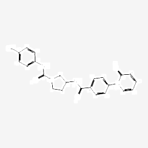 O=C(NC1CCN(C(=O)Nc2ccc(Cl)cc2)C1)c1ccc(-n2ccccc2=O)cc1